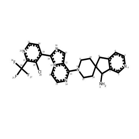 NC1c2cnccc2CC12CCN(c1nccn3c(-c4ccnc(C(F)(F)F)c4Cl)ncc13)CC2